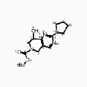 CC1CN(C(=O)OC(C)(C)C)Cc2cnc(N3CCCC3)nc21